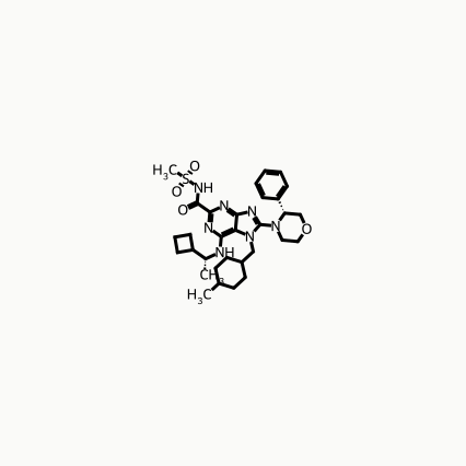 CC1CCC(Cn2c(N3CCOC[C@H]3c3ccccc3)nc3nc(C(=O)NS(C)(=O)=O)nc(N[C@H](C)C4CCC4)c32)CC1